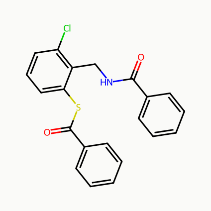 O=C(NCc1c(Cl)cccc1SC(=O)c1ccccc1)c1ccccc1